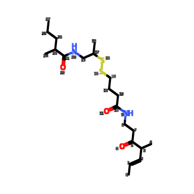 CC=CC(C)C(=O)CCNC(=O)CCCSSC(C)CNC(=O)C(C)CCC